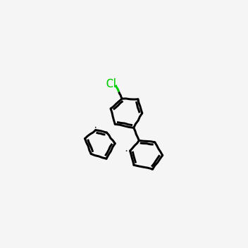 Clc1ccc(-c2[c]cccc2)cc1.[c]1ccccc1